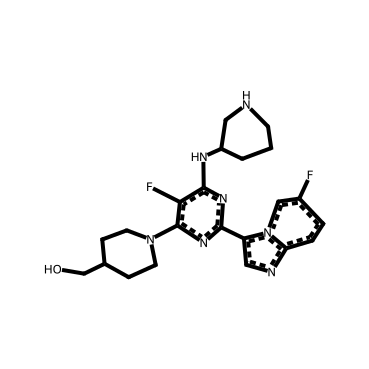 OCC1CCN(c2nc(-c3cnc4ccc(F)cn34)nc(NC3CCCNC3)c2F)CC1